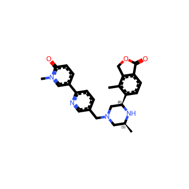 Cc1c([C@@H]2CN(Cc3ccc(-c4ccc(=O)n(C)c4)nc3)C[C@H](C)N2)ccc2c1COC2=O